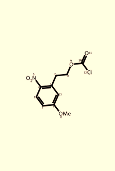 COc1ccc([N+](=O)[O-])c(CCOC(=O)Cl)c1